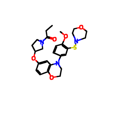 CCC(=O)N1CCC(Oc2ccc3c(c2)N(c2ccc(OC)c(SN4CCOCC4)c2)CCO3)C1